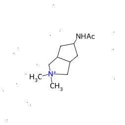 CC(=O)NC1CC2C[N+](C)(C)CC2C1